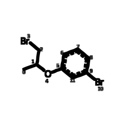 CC(CBr)Oc1cccc(Br)c1